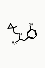 CC(Cc1cccc(O)c1)NCC1(F)CC1